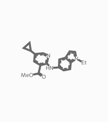 CCn1ccc2cc(Nc3ncc(C4CC4)cc3C(=O)OC)ccc21